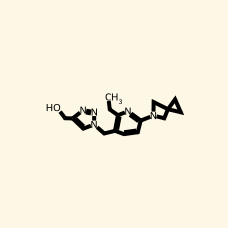 CCc1nc(N2CC3(CC3)C2)ccc1Cn1cc(CO)nn1